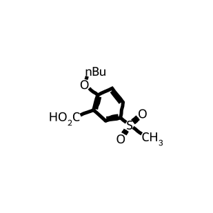 CCCCOc1ccc(S(C)(=O)=O)cc1C(=O)O